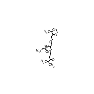 C=C(C)C(=O)CCOCC(COCCC(=O)C(C)C)NC(=O)CC